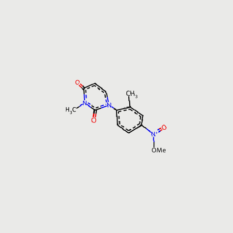 CO[N+](=O)c1ccc(-n2ccc(=O)n(C)c2=O)c(C)c1